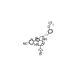 N#Cc1ccc(-n2nc3c(c2NC(=O)C2C[S+]([O-])C2)C(=O)N[C@@H](CCc2cccc(OCC(F)(F)F)c2)C3)nc1